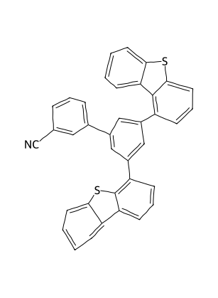 N#Cc1cccc(-c2cc(-c3cccc4c3sc3ccccc34)cc(-c3cccc4sc5ccccc5c34)c2)c1